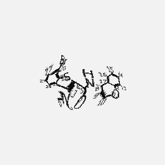 CN(C)c1c(C(=O)N[C@H]2CCOc3ccccc32)sc2c(Br)cccc12